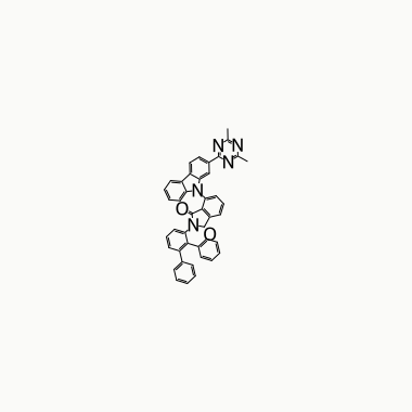 Cc1nc(C)nc(-c2ccc3c4ccccc4n(-c4cccc5c4C(=O)N(c4cccc(-c6ccccc6)c4-c4ccccc4)C5=O)c3c2)n1